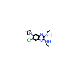 CCNc1nc2cc(Cl)c(N3C[CH]C3)cc2nc1NCC